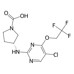 O=C(O)N1CC[C@@H](Nc2ncc(Cl)c(OCC(F)(F)F)n2)C1